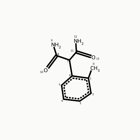 Cc1ccccc1C(C(N)=O)C(N)=O